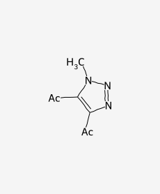 CC(=O)c1nnn(C)c1C(C)=O